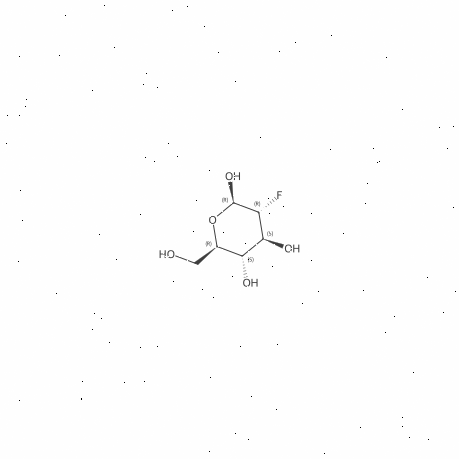 OC[C@H]1O[C@@H](O)[C@H](F)[C@@H](O)[C@@H]1O